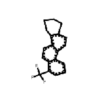 FC(F)(F)c1cccc2c1ccc1c3c(ccc12)CCCC3